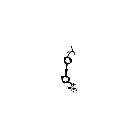 CCS(=O)(=O)Nc1cccc(C#Cc2ccc(OC(F)F)cc2)c1